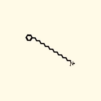 CN(C)CCCCCCCCCCCCCCCCCc1ccccc1